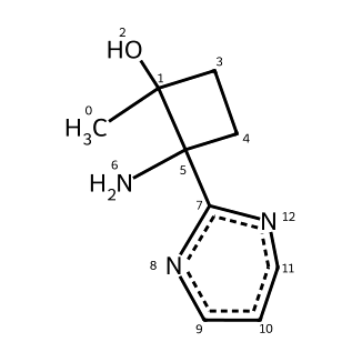 CC1(O)CCC1(N)c1ncccn1